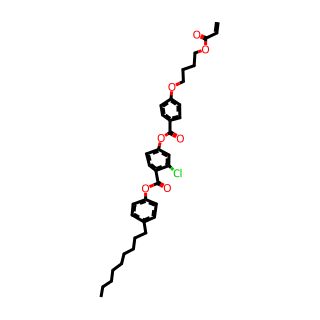 C=CC(=O)OCCCCOc1ccc(C(=O)Oc2ccc(C(=O)Oc3ccc(CCCCCCCCC)cc3)c(Cl)c2)cc1